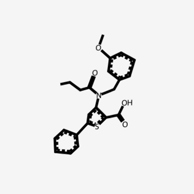 CCCC(=O)N(Cc1cccc(OC)c1)c1cc(-c2ccccc2)sc1C(=O)O